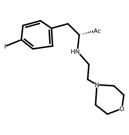 CC(=O)[C@@H](Cc1ccc(I)cc1)NCCN1CCOCC1